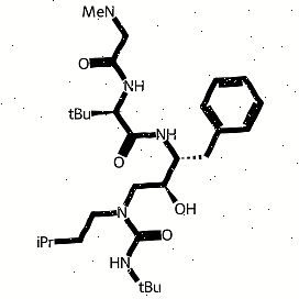 CNCC(=O)N[C@@H](C(=O)N[C@H](Cc1ccccc1)[C@@H](O)CN(CCC(C)C)C(=O)NC(C)(C)C)C(C)(C)C